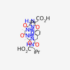 CC(C)C[C@H](NC(=O)[C@H](Cc1ccccc1)NC(=O)[C@H](C)NC(=O)[C@H](C)NC(=O)[C@@H](NC(=O)[C@@H](N)CC(=O)O)C(C)C)C(=O)O